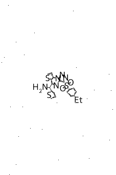 CCc1ccc(S(=O)(=O)c2nnn3c2nc(C(N)c2cccs2)c2sccc23)cc1